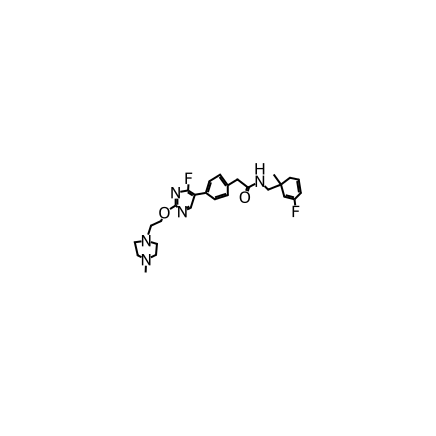 CN1CCN(CCOc2ncc(-c3ccc(CC(=O)NCC4(C)C=C(F)C=CC4)cc3)c(F)n2)CC1